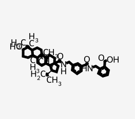 C=C(C)[C@@H]1CCC2(C(=O)NCc3cccc(C(=O)NCc4ccccc4C(=O)O)c3)CC[C@]3(C)C(CCC4C5(C)CCC(O)C(C)(C)C5CCC43C)C12